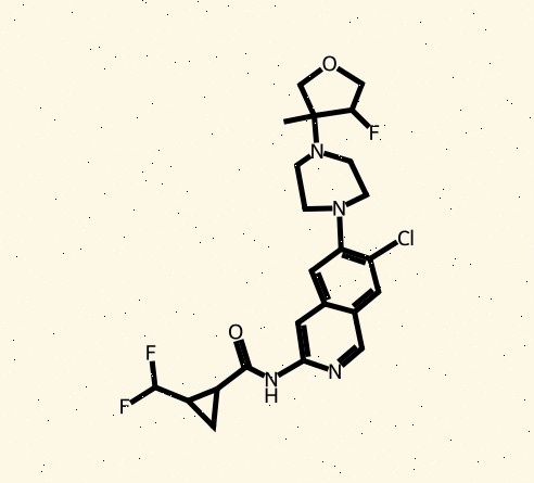 CC1(N2CCN(c3cc4cc(NC(=O)C5CC5C(F)F)ncc4cc3Cl)CC2)COCC1F